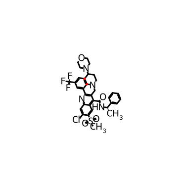 C[C@H](NC(=O)c1c(CN2CCC(N3CCOCC3)CC2)c(-c2cccc(C(F)(F)F)c2)nc2cc(Cl)c(S(C)(=O)=O)cc12)c1ccccc1